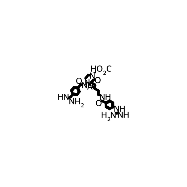 CC(=O)C1(CCCCNC(=O)c2ccc(NC(=N)N)cc2)C(=O)N(CC(=O)O)CCN1NC(=O)c1ccc(C(=N)N)cc1